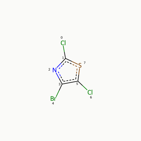 Clc1nc(Br)c(Cl)s1